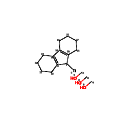 CO.CO.CO.[Ti][CH]1C2=C(CCCC2)C2=C1CCCC2